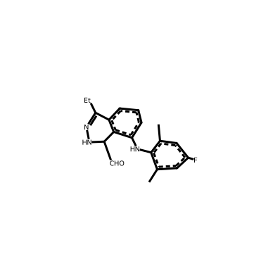 CCC1=NNC(C=O)c2c(Nc3c(C)cc(F)cc3C)cccc21